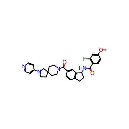 COc1ccc(C(=O)NC2CCc3ccc(C(=O)N4CCC5(CC4)CCN(c4ccncc4)C5)cc32)c(F)c1